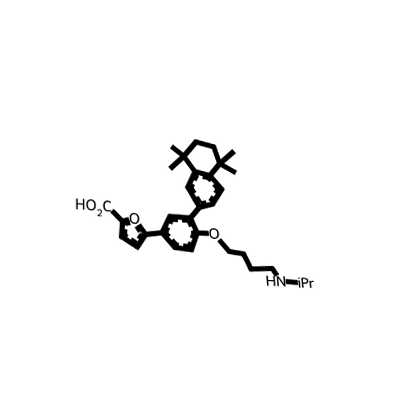 CC(C)NCCCCOc1ccc(-c2ccc(C(=O)O)o2)cc1-c1ccc2c(c1)C(C)(C)CCC2(C)C